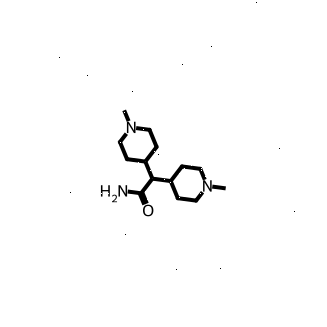 CN1CCC(C(C(N)=O)C2CCN(C)CC2)CC1